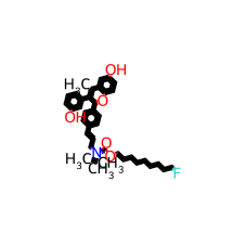 CC1=C(c2cccc(O)c2)C(c2ccc(/C=C/CN(C(=O)OCCCCCCCCCF)C(C)(C)C)cc2)Oc2ccc(O)cc21